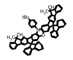 CC(C)(C)c1ccc(N2c3cc4c(cc3Oc3cc5c(cc32)-c2cc3c(cc2C52c5ccccc5-c5ccccc52)-c2ccccc2C3(C)C)C2(c3ccccc3-c3ccccc32)c2cc3c(cc2-4)C(C)(C)c2ccccc2-3)cc1